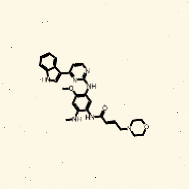 CNc1cc(OC)c(Nc2nccc(-c3c[nH]c4ccccc34)n2)cc1NC(=O)/C=C/CN1CCOCC1